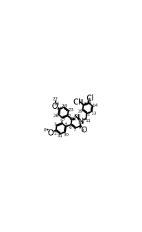 COc1ccc(-c2cc(=O)n(Cc3ccc(Cl)c(Cl)c3)nc2-c2ccc(OC)cc2)cc1